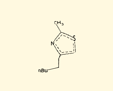 CCCCCc1csc(C)n1